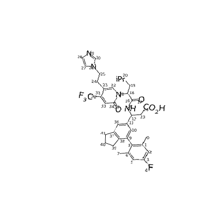 Cc1cc(F)cc(C)c1-c1cc(C(CC(=O)O)NC(=O)C(CC(C)C)n2cc(CCn3ccnc3)c(C(F)(F)F)cc2=O)cc2c1CCC2